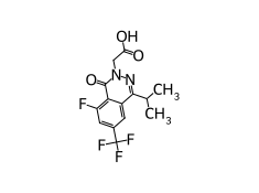 CC(C)c1nn(CC(=O)O)c(=O)c2c(F)cc(C(F)(F)F)cc12